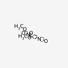 CCOC(=O)CN(C)S(=O)(=O)c1ccc(N2CCC(=O)CC2)cc1